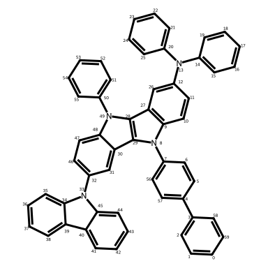 c1ccc(-c2ccc(-n3c4ccc(N(c5ccccc5)c5ccccc5)cc4c4c3c3cc(-n5c6ccccc6c6ccccc65)ccc3n4-c3ccccc3)cc2)cc1